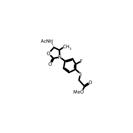 COC(=O)CSc1ccc(N2C(=O)O[C@H](NC(C)=O)C2C)cc1F